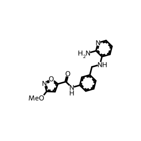 COc1cc(C(=O)Nc2cccc(CNc3cccnc3N)c2)on1